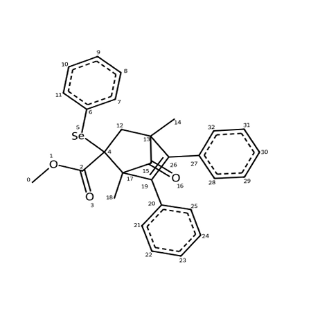 COC(=O)C1([Se]c2ccccc2)CC2(C)C(=O)C1(C)C(c1ccccc1)=C2c1ccccc1